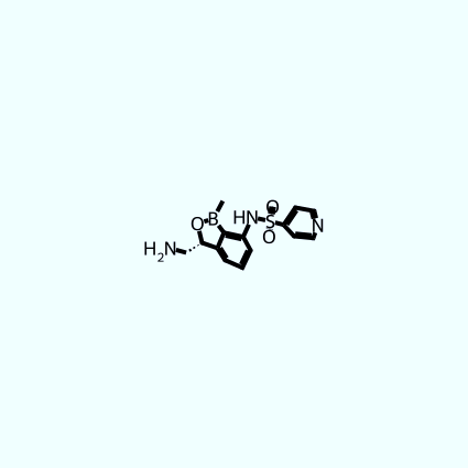 CB1O[C@@H](CN)c2cccc(NS(=O)(=O)c3ccncc3)c21